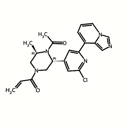 C=CC(=O)N1C[C@@H](C)N(C(C)=O)[C@H](c2cc(Cl)nc(-c3cccn4cncc34)c2)C1